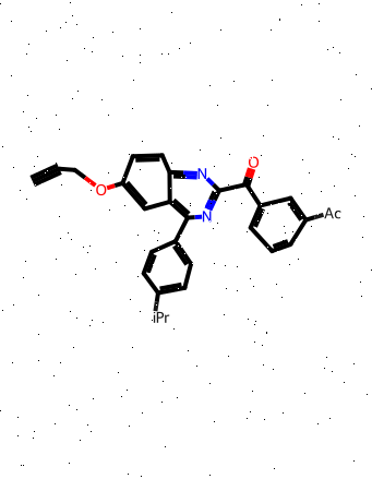 C#CCOc1ccc2nc(C(=O)c3cccc(C(C)=O)c3)nc(-c3ccc(C(C)C)cc3)c2c1